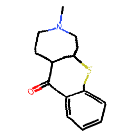 CN1CCC2C(=O)c3ccccc3SC2C1